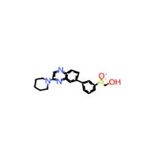 [O-][S+](CO)c1cccc(-c2ccc3ncc(N4CCCCC4)nc3c2)c1